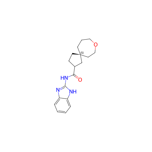 O=C(Nc1nc2ccccc2[nH]1)C1CC[C@]2(CCCOCC2)C1